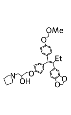 CC/C(=C(\c1ccc(OCOC)cc1)c1ccc(OCC(O)CN2CCCC2)cc1)c1ccc2c(c1)OCO2